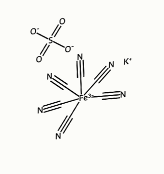 N#[C][Fe-3]([C]#N)([C]#N)([C]#N)([C]#N)[C]#N.O=S(=O)([O-])[O-].[K+]